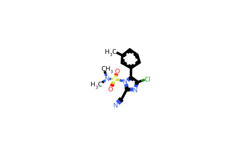 Cc1cccc(-c2c(Cl)nc(C#N)n2S(=O)(=O)N(C)C)c1